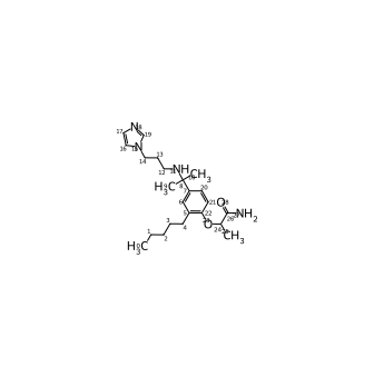 CCCCCc1cc(C(C)(C)NCCCn2ccnc2)ccc1OC(C)C(N)=O